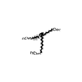 CCCCCCCCCCCCCCCCCCCc1n(CCCCCCCCCCCCCCC)cc[n+]1CCCCCCCCCCCCCCCCC